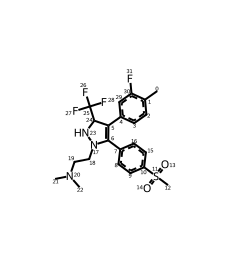 Cc1ccc(C2=C(c3ccc(S(C)(=O)=O)cc3)N(CCN(C)C)NC2C(F)(F)F)cc1F